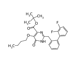 CCCCOc1c(C(=O)OC(C)(C)C)nc(Cc2ccccc2-c2cccc(F)c2F)[nH]c1=O